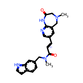 CN1CC(=O)Nc2ncc(/C=C/C(=O)N(C)Cc3ccc4cc[nH]c4c3)cc2C1